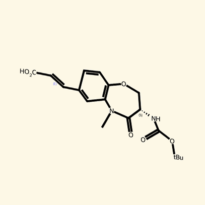 CN1C(=O)[C@@H](NC(=O)OC(C)(C)C)COc2ccc(/C=C/C(=O)O)cc21